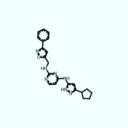 c1ccc(-c2cc(CNc3nccc(Nc4cc(C5CCCC5)n[nH]4)n3)on2)cc1